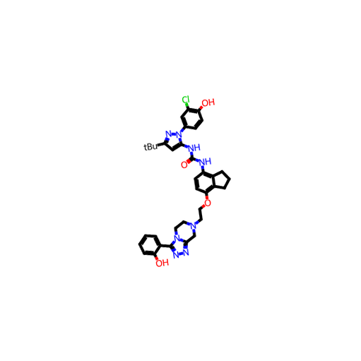 CC(C)(C)c1cc(NC(=O)Nc2ccc(OCCN3CCn4c(nnc4-c4ccccc4O)C3)c3c2CCC3)n(-c2ccc(O)c(Cl)c2)n1